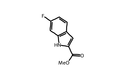 COC(=O)c1cc2ccc(F)cc2[nH]1